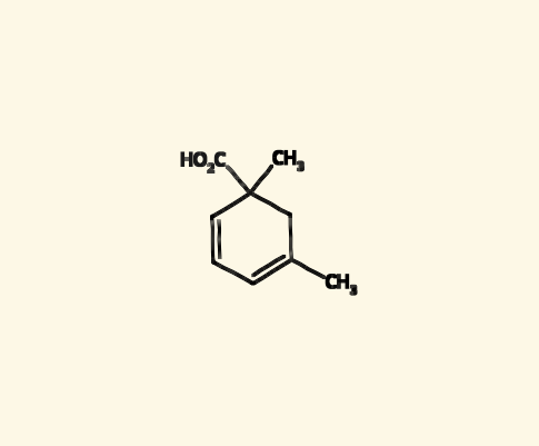 CC1=CC=CC(C)(C(=O)O)C1